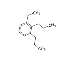 CCCc1cccc(CC)c1CCC